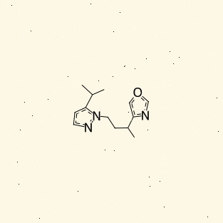 CC(C)c1ccnn1CCC(C)c1cocn1